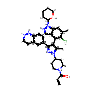 C=CC(=O)N1CCC(n2nc(-c3ccc4nnccc4c3)c(-c3c(Cl)c(C)cc4c3cnn4C3CCCCO3)c2C)CC1